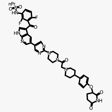 CCCS(=O)(=O)Nc1ccc(F)c(C(=O)c2c[nH]c3ncc(-c4cnc(N5CCN(C(=O)CN6CCC(c7ccc(OC8CCC(=O)NC8=O)cc7)CC6)CC5)nc4)cc23)c1F